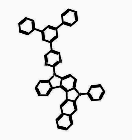 c1ccc(-c2cc(-c3ccccc3)cc(-c3cnc(-n4c5ccccc5c5c6c7cc8ccccc8cc7n(-c7ccccc7)c6ccc54)nc3)c2)cc1